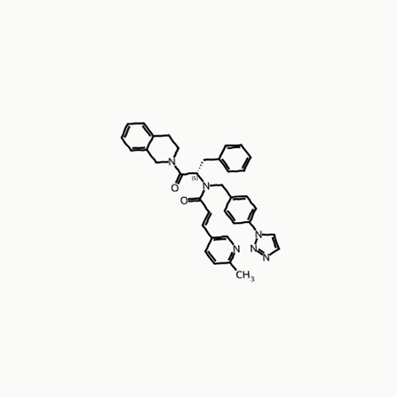 Cc1ccc(C=CC(=O)N(Cc2ccc(-n3ccnn3)cc2)[C@@H](Cc2ccccc2)C(=O)N2CCc3ccccc3C2)cn1